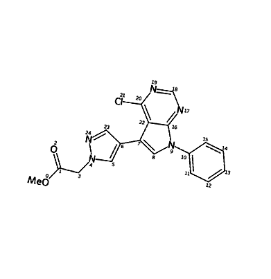 COC(=O)Cn1cc(-c2cn(-c3ccccc3)c3ncnc(Cl)c23)cn1